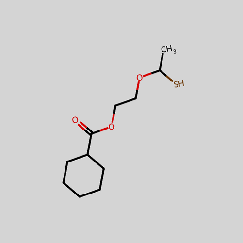 CC(S)OCCOC(=O)C1CCCCC1